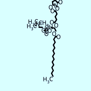 CCCCCCCCCCCCCCCC(=O)OCC(COP(=O)(O)OCC[N+](C)(C)C)OC(=O)CCCC(=O)ON1C(=O)CCC1=O